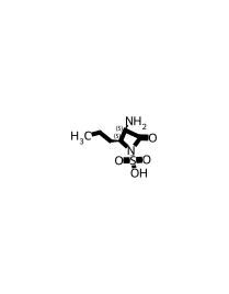 CCC[C@H]1[C@H](N)C(=O)N1S(=O)(=O)O